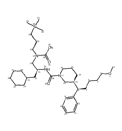 COCCCC[C@@H](c1ccccc1)[C@@H]1CCCN(C(=O)N[C@@H](CC2CCCCC2)CN(CCC[Si](C)(C)C)C(=O)O)C1